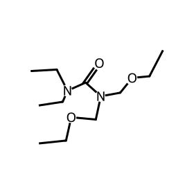 CCOCN(COCC)C(=O)N(CC)CC